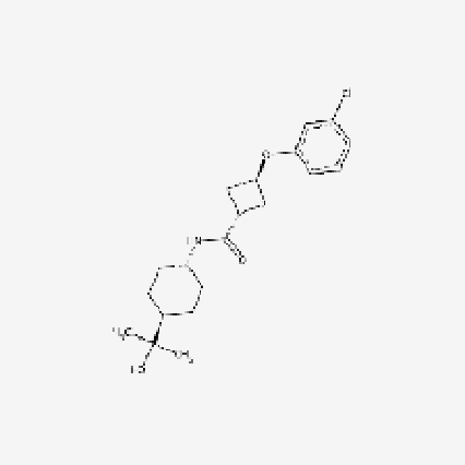 CC(C)(O)[C@H]1CC[C@H](NC(=O)[C@H]2C[C@H](Oc3cccc(Cl)c3)C2)CC1